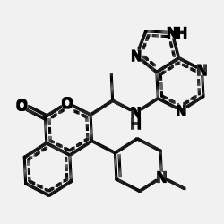 CC(Nc1ncnc2[nH]cnc12)c1oc(=O)c2ccccc2c1C1=CCN(C)CC1